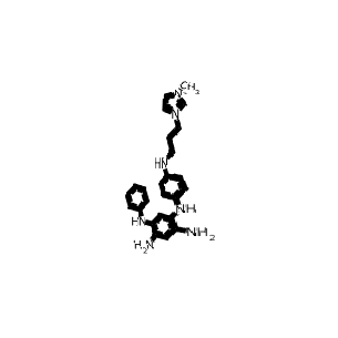 C[n+]1ccn(CCCNc2ccc(Nc3cc(Nc4ccccc4)c(N)cc3N)cc2)c1